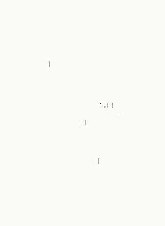 O=C1Nc2ccc(CCCO)cc2Nc2cc(Cl)ccc21